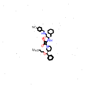 COCCCOC(c1ccccc1)[C@@H]1CCCN(c2c(N[C@@H](CC3CCCCC3)[C@H](O)CNCc3ccc(C#N)cc3)c(=O)c2=O)C1